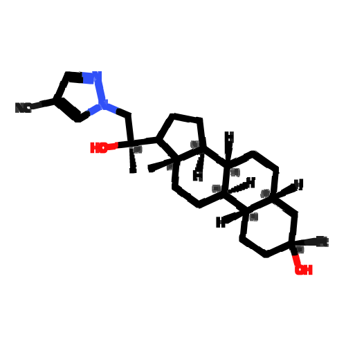 CC[C@@]1(O)CC[C@H]2[C@H](CC[C@@H]3[C@@H]2CC[C@]2(C)C([C@@](C)(O)Cn4cc(C#N)cn4)CC[C@@H]32)C1